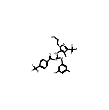 Cc1c(C(F)(F)F)nn(CCO)c1N/C(=N\C(=O)c1ccc(C(F)(F)F)cc1)Nc1cc(F)cc(Cl)c1